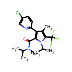 Cc1c(-c2ccc(Cl)cn2)c(C(=O)N(C)C(C)C)n(C(C)C)c1C(F)(F)F